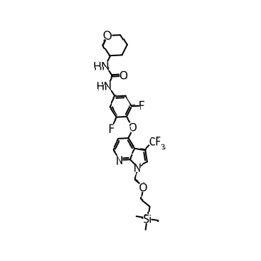 C[Si](C)(C)CCOCn1cc(C(F)(F)F)c2c(Oc3c(F)cc(NC(=O)NC4CCCOC4)cc3F)ccnc21